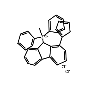 [CH3][Zr+2]([c]1ccccc1)([c]1ccccc1)[CH]1c2ccccc2-c2cccc(C3=CC=CC3)c21.[Cl-].[Cl-]